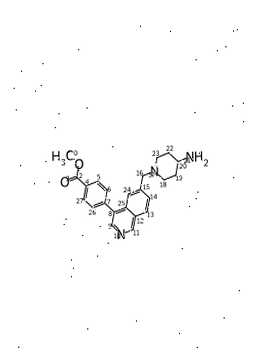 COC(=O)c1ccc(-c2cncc3ccc(CN4CCC(N)CC4)cc23)cc1